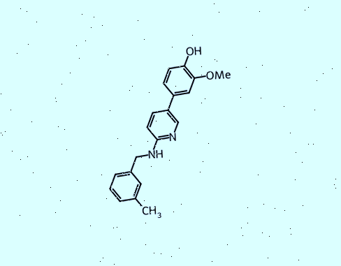 COc1cc(-c2ccc(NCc3cccc(C)c3)nc2)ccc1O